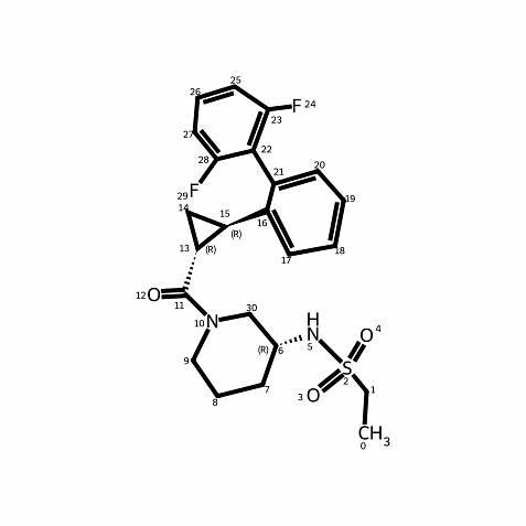 CCS(=O)(=O)N[C@@H]1CCCN(C(=O)[C@@H]2C[C@H]2c2ccccc2-c2c(F)cccc2F)C1